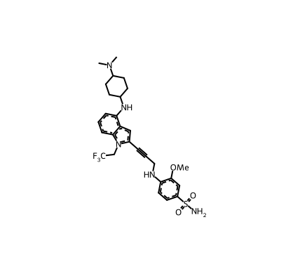 COc1cc(S(N)(=O)=O)ccc1NCC#Cc1cc2c(NC3CCC(N(C)C)CC3)cccc2n1CC(F)(F)F